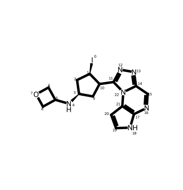 I[C@@H]1C[C@H](NC2COC2)CC1c1nnc2cnc3[nH]ccc3n12